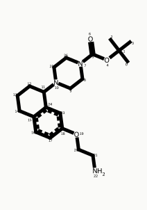 CC(C)(C)OC(=O)N1CCN(C2CCCc3ccc(OCCN)cc32)CC1